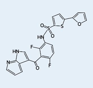 O=C(c1c(F)ccc(NS(=O)(=O)c2ccc(-c3ccco3)s2)c1F)c1c[nH]c2ncccc12